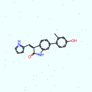 Cc1cc(O)ccc1-c1ccc2c(c1)NC(=O)C2=Cc1ccc[nH]1